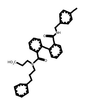 Cc1ccc(CNC(=O)c2ccccc2-c2ccccc2C(=O)N(CCCc2ccccc2)CCC(=O)O)cc1